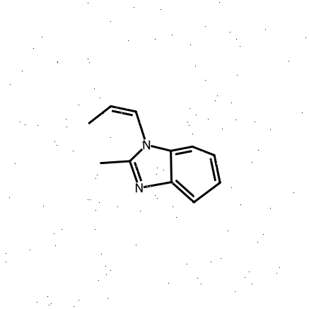 C/C=C\n1c(C)nc2ccccc21